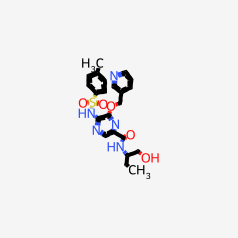 CCC(CO)NC(=O)c1cnc(NS(=O)(=O)c2ccc(C)cc2)c(OCc2cccnc2)n1